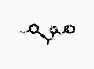 COc1cccc(C#CC(C)Oc2nsnc2OC2CN3CCC2C3)c1